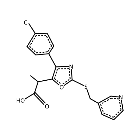 CC(C(=O)O)c1oc(SCc2cccnc2)nc1-c1ccc(Cl)cc1